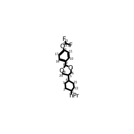 CCCC1CCC(C2COC(c3ccc(OC(F)F)cc3)OC2)CC1